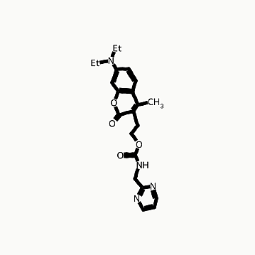 CCN(CC)c1ccc2c(C)c(CCOC(=O)NCc3ncccn3)c(=O)oc2c1